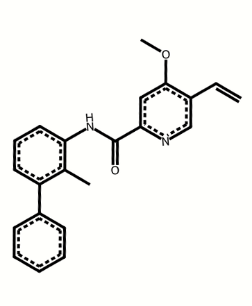 C=Cc1cnc(C(=O)Nc2cccc(-c3ccccc3)c2C)cc1OC